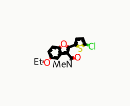 CCOc1ccc2oc(-c3ccc(Cl)s3)c(C(=O)NC)c2c1